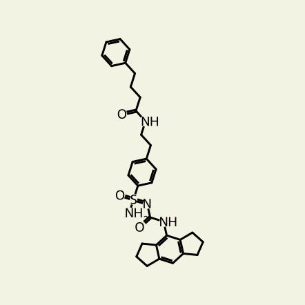 NS(=O)(=NC(=O)Nc1c2c(cc3c1CCC3)CCC2)c1ccc(CCNC(=O)CCCc2ccccc2)cc1